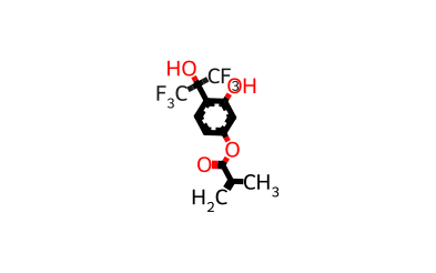 C=C(C)C(=O)Oc1ccc(C(O)(C(F)(F)F)C(F)(F)F)c(O)c1